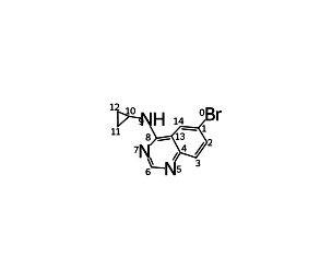 Brc1ccc2ncnc(NC3CC3)c2c1